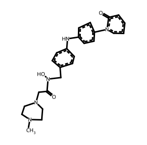 CN1CCN(CC(=O)N(O)Cc2ccc(Nc3ccc(-n4ccccc4=O)cc3)cc2)CC1